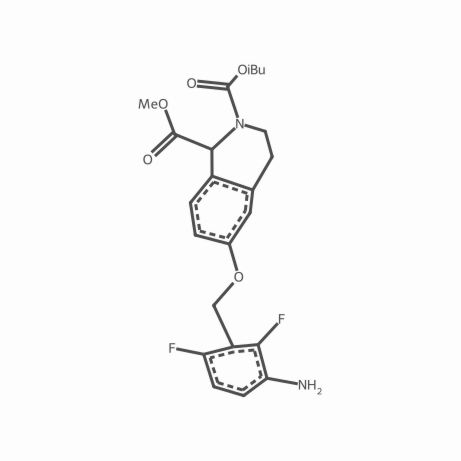 COC(=O)C1c2ccc(OCc3c(F)ccc(N)c3F)cc2CCN1C(=O)OCC(C)C